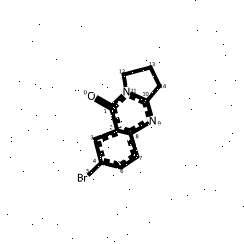 O=c1c2cc(Br)ccc2nc2n1CCC2